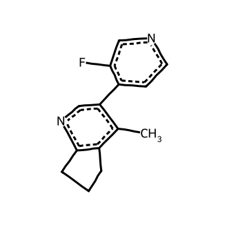 Cc1c(-c2ccncc2F)cnc2c1CCC2